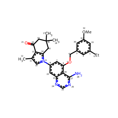 CCc1cc(COc2cc(-n3cc(C)c4c3CC(C)(C)CC4=O)cc3ncnc(N)c23)cc(OC)c1